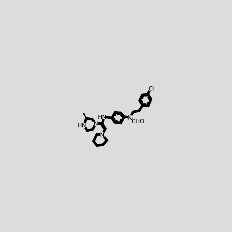 C[C@H]1CN(/C(=C\N2CCCCC2)Nc2ccc(N(C=O)CCc3ccc(Cl)cc3)cc2)CCN1